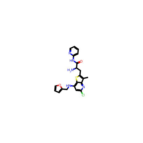 Cc1c(CC(N)C(=O)Nc2ccccn2)sc2c(NCc3ccco3)cc(Cl)nc12